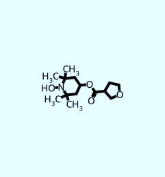 CC1(C)CC(OC(=O)C2CCOC2)CC(C)(C)N1O